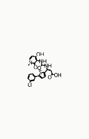 Cn1ccc(O)c(NC(=O)NC(CC(=O)O)c2ccc(-c3cccc(Cl)c3)s2)c1=O